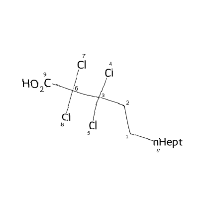 CCCCCCCCCC(Cl)(Cl)C(Cl)(Cl)C(=O)O